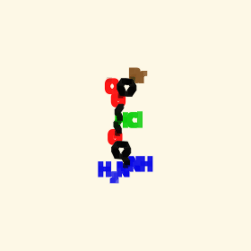 COc1cc(Br)ccc1OCCCCCOc1ccc(C(=N)N)cc1.Cl